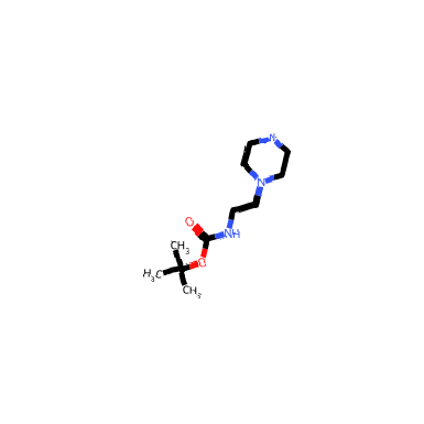 CC(C)(C)OC(=O)NCCN1CC[N]CC1